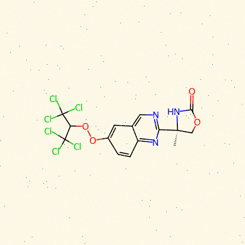 C[C@@]1(c2ncc3cc(OOC(C(Cl)(Cl)Cl)C(Cl)(Cl)Cl)ccc3n2)COC(=O)N1